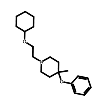 CC1(Oc2ccccc2)CCN(CCOC2CCCCC2)CC1